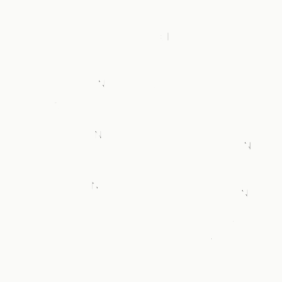 O=c1c2ccccc2nc(-c2ccc(-c3nccn3C3CC3)cc2)n1-c1ccc(Cl)cn1